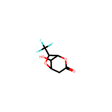 O=C1CC2OC(C(F)(F)F)C(O1)C2O